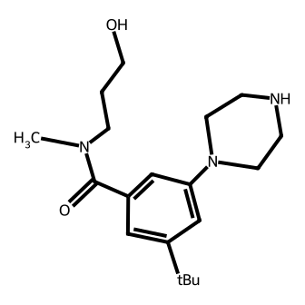 CN(CCCO)C(=O)c1cc(N2CCNCC2)cc(C(C)(C)C)c1